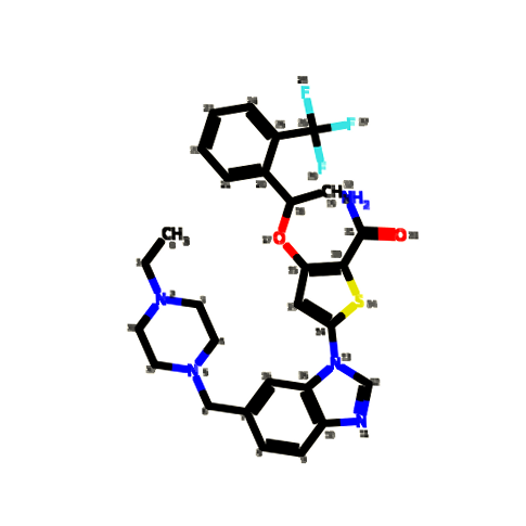 CCN1CCN(Cc2ccc3ncn(-c4cc(OC(C)c5ccccc5C(F)(F)F)c(C(N)=O)s4)c3c2)CC1